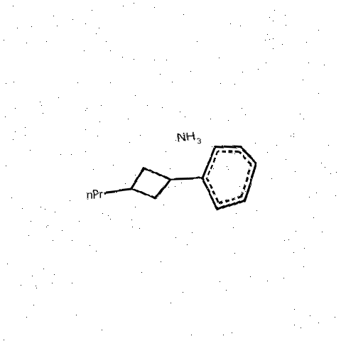 CCCC1CC(c2ccccc2)C1.N